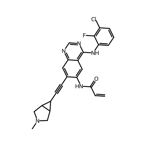 C=CC(=O)Nc1cc2c(Nc3cccc(Cl)c3F)ncnc2cc1C#CC1C2CN(C)CC12